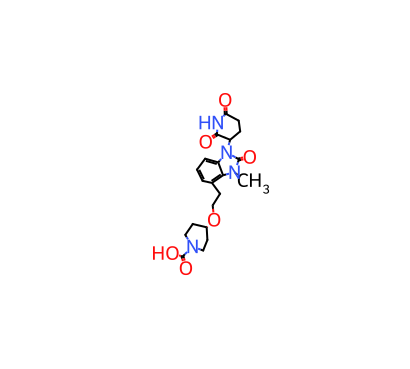 Cn1c(=O)n(C2CCC(=O)NC2=O)c2cccc(CCOC3CCN(C(=O)O)CC3)c21